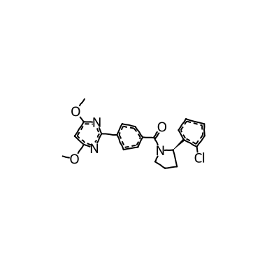 COc1cc(OC)nc(-c2ccc(C(=O)N3CCC[C@@H]3c3ccccc3Cl)cc2)n1